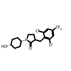 O=C1C(Cc2c(Cl)cc(C(F)(F)F)cc2Cl)CCN1[C@H]1CC[C@@H](O)CC1